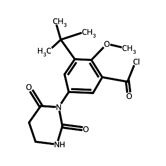 COc1c(C(=O)Cl)cc(N2C(=O)CCNC2=O)cc1C(C)(C)C